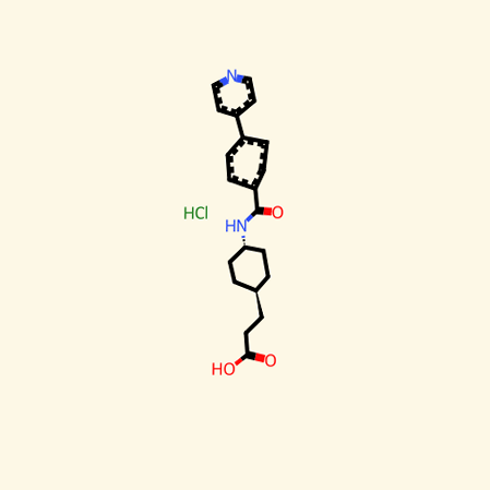 Cl.O=C(O)CC[C@H]1CC[C@H](NC(=O)c2ccc(-c3ccncc3)cc2)CC1